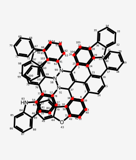 c1ccc(C2=C(c3c(-c4ccccc4)ccc(-c4ccccc4)c3-c3cccc4c3[nH]c3ccccc34)C(c3cccc4oc5ccccc5c34)N(c3ccccc3)N(c3c(-c4ccccc4-c4ccccc4)cccc3-c3cccc4c3[nH]c3ccccc34)N2c2cccc3oc4ccccc4c23)cc1